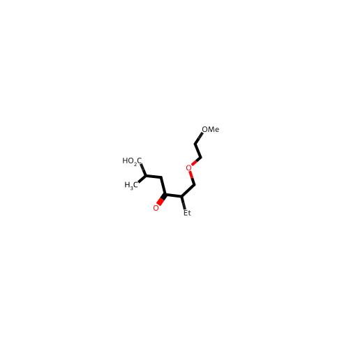 CCC(COCCOC)C(=O)CC(C)C(=O)O